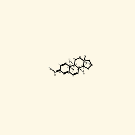 C[C@@]12CCC[C@H]1[C@@H]1C=CC3=CC(=N[N])C=C[C@]3(C)[C@H]1CC2